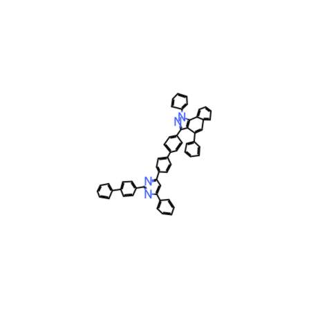 c1ccc(-c2ccc(-c3nc(-c4ccccc4)cc(-c4ccc(-c5ccc(-c6nn(-c7ccccc7)c7c6c(-c6ccccc6)cc6ccccc67)cc5)cc4)n3)cc2)cc1